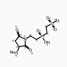 CCS(=O)(=O)CCP(=O)(O)CCN1C(=O)CC(SC)C1=O